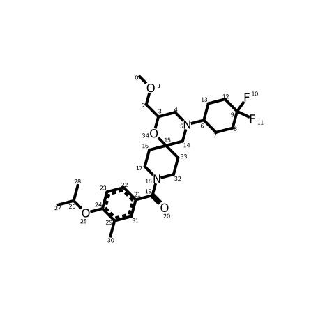 COCC1CN(C2CCC(F)(F)CC2)CC2(CCN(C(=O)c3ccc(OC(C)C)c(C)c3)CC2)O1